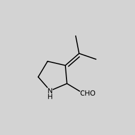 CC(C)=C1CCNC1C=O